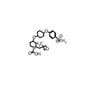 CC1(CC2CC(OC3CCC(Oc4ccc(S(C)(=O)=O)cc4)CC3)CCN2C(=O)O)COC1